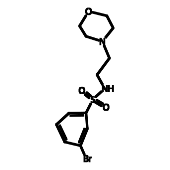 O=S(=O)(NCCN1CCOCC1)c1cccc(Br)c1